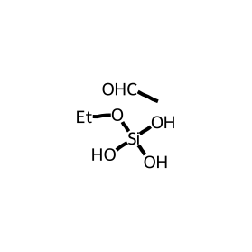 CC=O.CCO[Si](O)(O)O